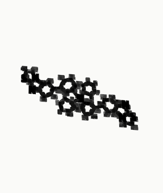 c1ccc([Si](c2ccccc2)(c2cccc(-c3ccc4nc5sccn5c4c3)c2)c2cccc(-c3ccc4nc5sccn5c4c3)c2)cc1